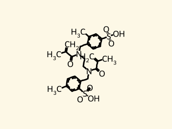 C=C(C)C(=O)N(CCN(Cc1ccc(C)cc1S(=O)(=O)O)C(=O)C(=C)C)Cc1ccc(S(=O)(=O)O)cc1C